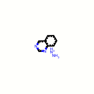 N.N.c1ccc2ncncc2c1